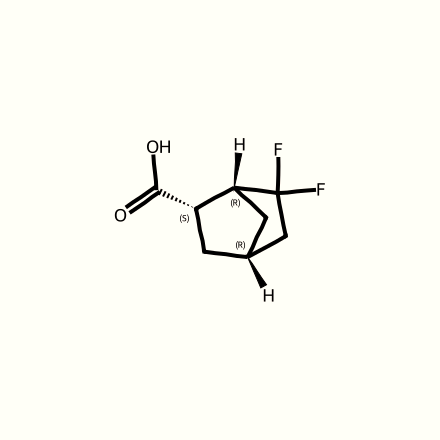 O=C(O)[C@H]1C[C@@H]2C[C@H]1C(F)(F)C2